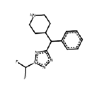 FC(F)n1nnc(C(c2ccccc2)C2CCNCC2)n1